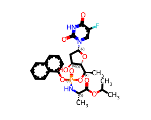 CC(C)OC(=O)[C@H](C)N[P@](=O)(Oc1cccc2ccccc12)O[C@H](C)[C@H]1O[C@@H](n2cc(F)c(=O)[nH]c2=O)C[C@@H]1O